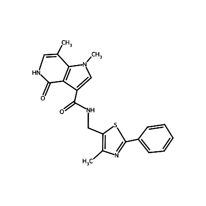 Cc1nc(-c2ccccc2)sc1CNC(=O)c1cn(C)c2c(C)c[nH]c(=O)c12